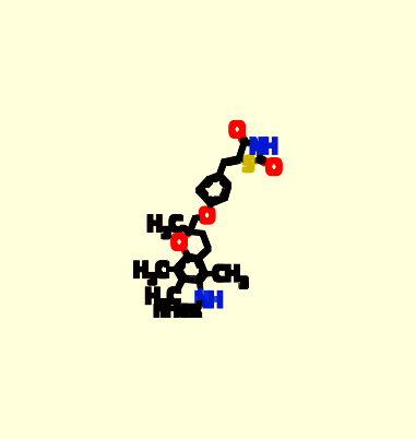 CCCCCCNc1c(C)c(C)c2c(c1C)CCC(C)(COc1ccc(/C=C3\SC(=O)NC3=O)cc1)O2